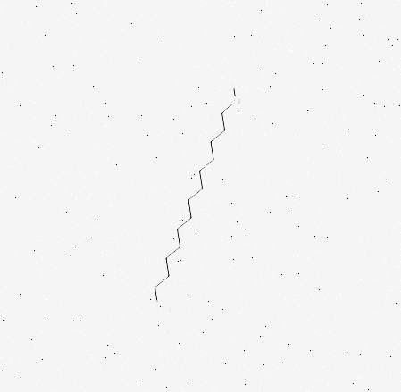 CCCCCCCCCCCCCCNCl